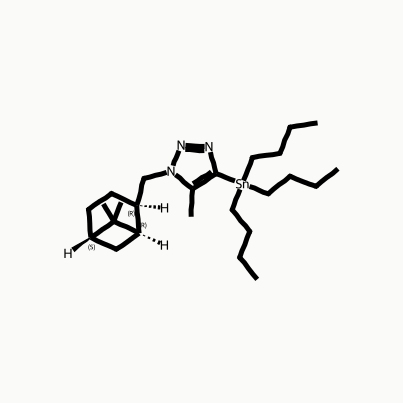 CCC[CH2][Sn]([CH2]CCC)([CH2]CCC)[c]1nnn(C[C@@H]2CC[C@H]3C[C@H]2C3(C)C)c1C